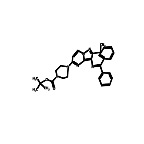 CCc1nn2ccc(N3CCN(C(=O)OC(C)(C)C)CC3)nc2c1N=C(c1ccccc1)c1ccccc1